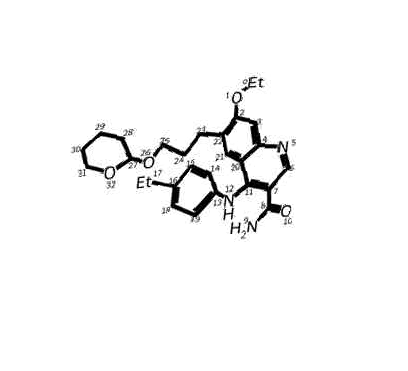 CCOc1cc2ncc(C(N)=O)c(Nc3ccc(CC)cc3)c2cc1CCCOC1CCCCO1